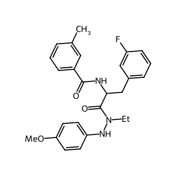 CCN(Nc1ccc(OC)cc1)C(=O)C(Cc1cccc(F)c1)NC(=O)c1cccc(C)c1